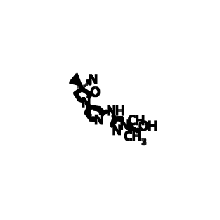 CC(C)(CO)n1cc(Nc2cc(N3CC[C@@](C#N)(C4CC4)C3=O)ccn2)cn1